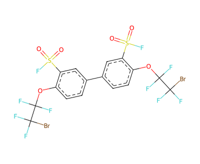 O=S(=O)(F)c1cc(-c2ccc(OC(F)(F)C(F)(F)Br)c(S(=O)(=O)F)c2)ccc1OC(F)(F)C(F)(F)Br